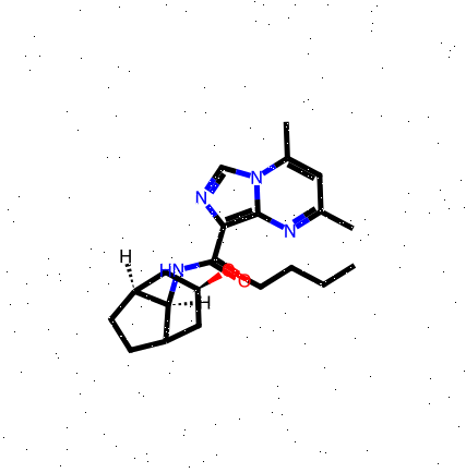 CCCCO[C@H]1CC2CC[C@@H](C1)[C@H]2NC(=O)c1ncn2c(C)cc(C)nc12